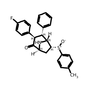 Cc1ccc([S+]([O-])[C@@H]2C[C@@H]3N[C@@H]2[C@@H](c2ccccc2)[C@H](c2ccc(F)cc2)C3=O)cc1